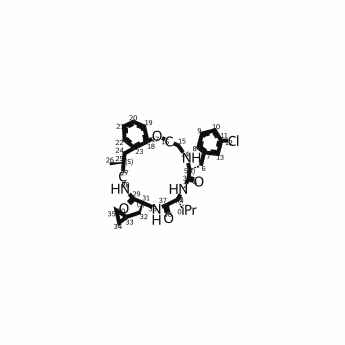 CC(C)[C@H]1NC(=O)[C@@H](Cc2cccc(Cl)c2)NCCOc2ccccc2C[C@H](C)CNC(=O)[C@H](CC2CC2)NC1=O